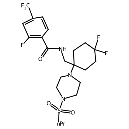 CCCS(=O)(=O)N1CCN(C2(CNC(=O)c3ccc(C(F)(F)F)cc3F)CCC(F)(F)CC2)CC1